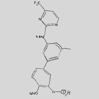 COc1ccc(-c2cc(C)cc(Nc3nccc(C(F)(F)F)n3)c2)cc1OC(=O)O